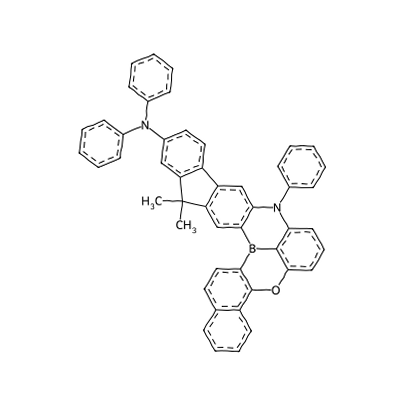 CC1(C)c2cc(N(c3ccccc3)c3ccccc3)ccc2-c2cc3c(cc21)B1c2ccc4ccccc4c2Oc2cccc(c21)N3c1ccccc1